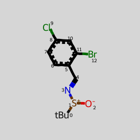 CC(C)(C)[S+]([O-])N=Cc1ccc(Cl)cc1Br